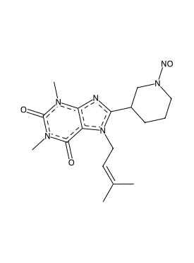 CC(C)=CCn1c(C2CCCN(N=O)C2)nc2c1c(=O)n(C)c(=O)n2C